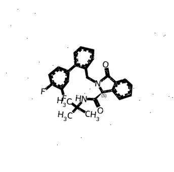 CC(C)(C)NC(=O)[C@@H]1c2ccccc2C(=O)N1Cc1ccccc1-c1ccc(F)c(F)c1